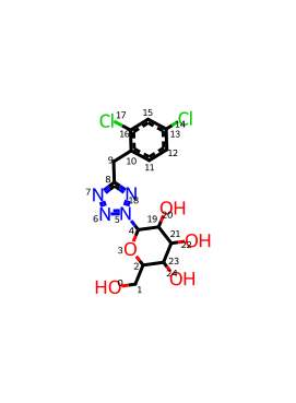 OCC1OC(n2nnc(Cc3ccc(Cl)cc3Cl)n2)C(O)C(O)C1O